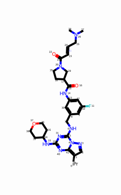 CC(C)c1cnn2c(NCc3cc(F)cc(NC(=O)C4CCN(C(=O)/C=C/CN(C)C)C4)c3)nc(NC3CCOCC3)nc12